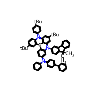 CC(C)(C)c1ccc(N2c3ccc(C(C)(C)C)cc3B3c4ccc(N(c5ccccc5)c5ccc(-c6ccccc6)cc5)cc4N(c4ccc5c(c4)-c4ccccc4C5(C)C)c4cc(C(C)(C)C)cc2c43)cc1